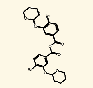 O=C(OC(=O)c1ccc(Br)c(OC2CCCCO2)c1)c1ccc(Br)c(OC2CCCCO2)c1